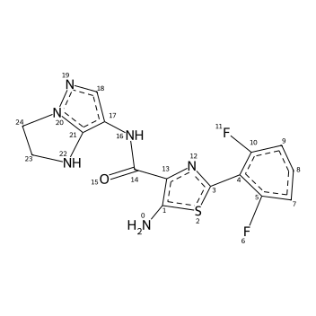 Nc1sc(-c2c(F)cccc2F)nc1C(=O)Nc1cnn2c1NCC2